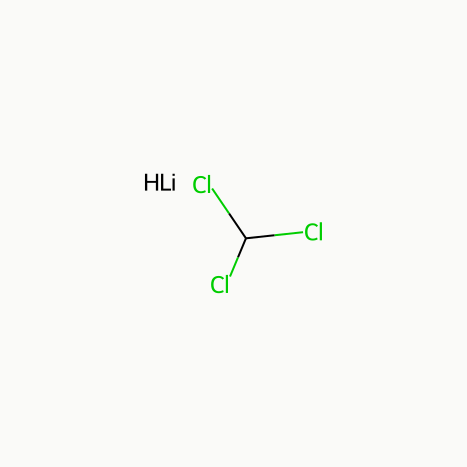 ClC(Cl)Cl.[LiH]